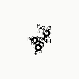 C[C@@H]1NC(c2ccc(=O)n(OC(F)F)c2)=N[C@@]1(c1ccc(F)cc1)c1ccc(F)nc1